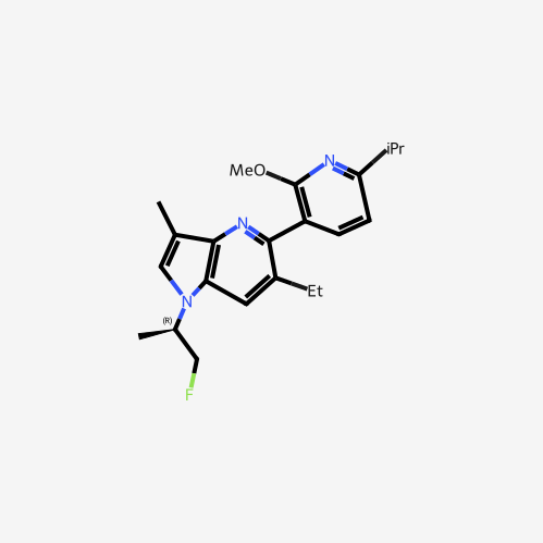 CCc1cc2c(nc1-c1ccc(C(C)C)nc1OC)c(C)cn2[C@H](C)CF